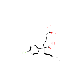 C=C=CC(CCCC(=O)OC)(C(=O)O)c1ccc(F)cc1